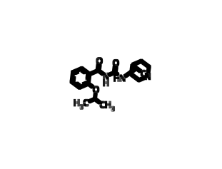 CC(C)Oc1ccccc1C(=O)NC(=O)NC1CN2CCC1CC2